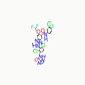 Cn1ccnc1C(=O)NCc1ccc(Cl)c(Nc2nc3cc(C(=O)Nc4ccc(F)c(Cl)c4)c(OCC(F)F)cc3n2C)c1Cl